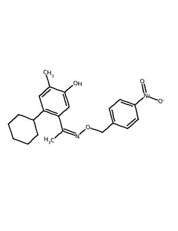 CC(=NOCc1ccc([N+](=O)[O-])cc1)c1cc(O)c(C)cc1C1CCCCC1